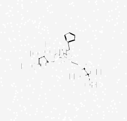 C[C@@H]1O[C@H](COP(=O)(NCc2ccccc2)OCCSC(=O)C(C)(C)CO)C(O)[C@@H]1O